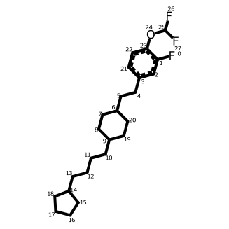 Fc1cc(CCC2CCC(CCCCC3CCCC3)CC2)ccc1OC(F)F